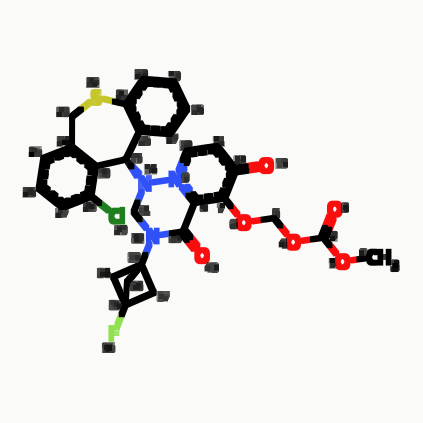 COC(=O)OCOc1c2n(ccc1=O)N([C@@H]1c3ccccc3SCc3cccc(Cl)c31)CN(C13CC(F)(C1)C3)C2=O